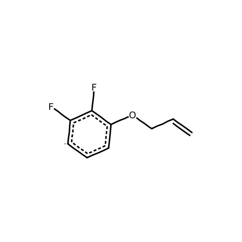 C=CCOc1cc[c]c(F)c1F